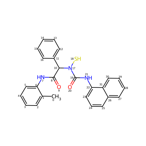 Cc1ccccc1NC(=O)C(c1ccccc1)N(S)C(=O)Nc1cccc2ccccc12